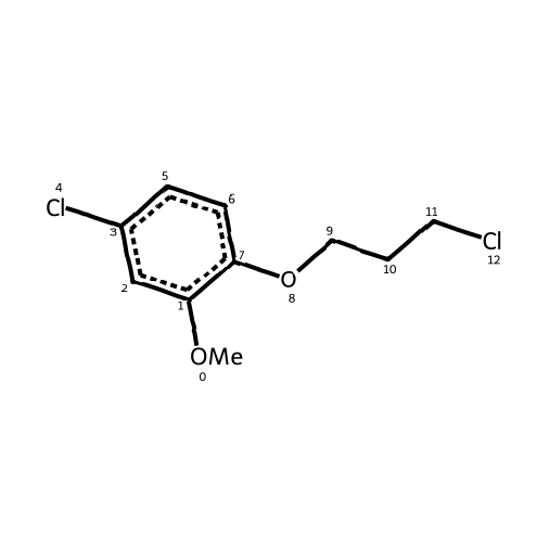 COc1cc(Cl)ccc1OCCCCl